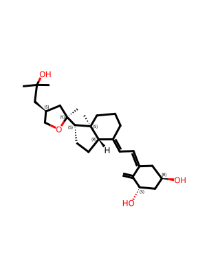 C=C1C(=CC=C2CCC[C@@]3(C)[C@H]2CC[C@@H]3[C@]2(C)C[C@H](CC(C)(C)O)CO2)C[C@@H](O)C[C@@H]1O